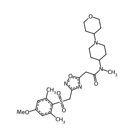 COc1cc(C)c(S(=O)(=O)Cc2noc(CC(=O)N(C)C3CCN(C4CCOCC4)CC3)n2)c(C)c1